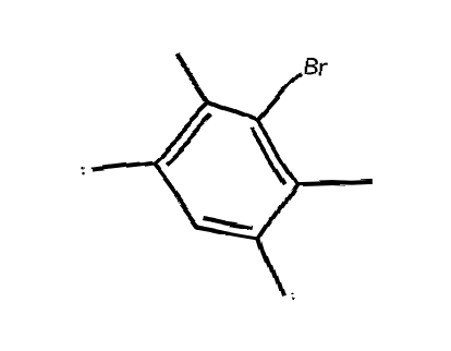 [CH]c1cc([CH])c(C)c(Br)c1C